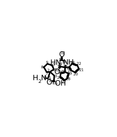 NCC1(CC(=O)O)CCCCC1.O=C1NC(=O)C(c2ccccc2)(c2ccccc2)N1